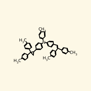 Cc1ccc(C(=Cc2ccc(N(c3ccc(C)cc3)c3ccc(C4CC4(c4ccc(C)cc4)c4ccc(C)cc4)cc3)cc2)c2ccc(C)cc2)cc1